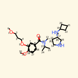 COCCCOc1cc(C(=O)N(C[C@H]2CNC[C@@H]2NC2CCC2)C(C)C)ccc1OC